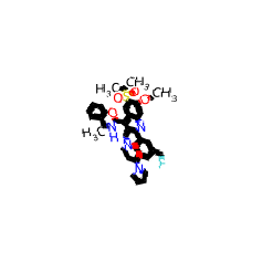 CCOc1cc2nc(-c3cccc(CF)c3)c(CN3CCC(N4CCCC4)CC3)c(C(=O)N[C@@H](C)c3ccccc3)c2cc1S(=O)(=O)C(C)C